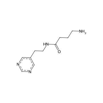 NCCCC(=O)NCCc1cncnc1